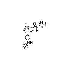 CC(C)(C)OC(=O)Nc1ccc(Oc2ccc(C(=O)Nc3nnc(C(C)(C)C)s3)cc2[N+](=O)[O-])cc1